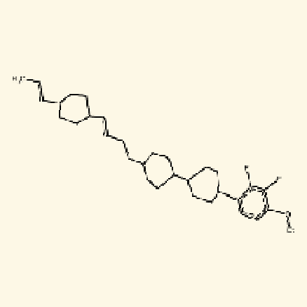 C/C=C/C1CCC(/C=C/CCC2CCC(C3CCC(c4ccc(OCC)c(F)c4F)CC3)CC2)CC1